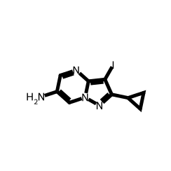 Nc1cnc2c(I)c(C3CC3)nn2c1